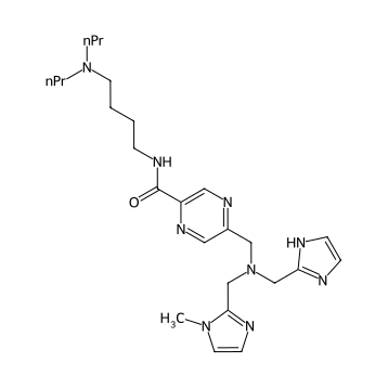 CCCN(CCC)CCCCNC(=O)c1cnc(CN(Cc2ncc[nH]2)Cc2nccn2C)cn1